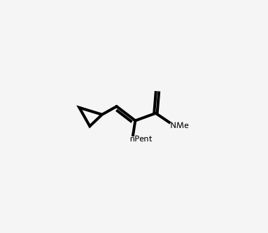 C=C(NC)/C(=C/C1CC1)CCCCC